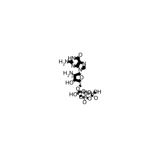 Nc1nc2c(ncn2[C@@H]2O[C@H](COP(=O)(O)OP(=O)(O)OP(=O)(O)O)C(O)[C@@H]2N)c(=O)[nH]1